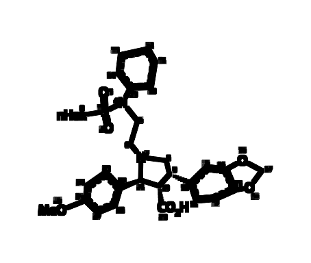 CCCCCCS(=O)(=O)N(CCN1C[C@H](c2ccc3c(c2)OCO3)[C@H](C(=O)O)[C@H]1c1ccc(OC)cc1)c1ccccc1